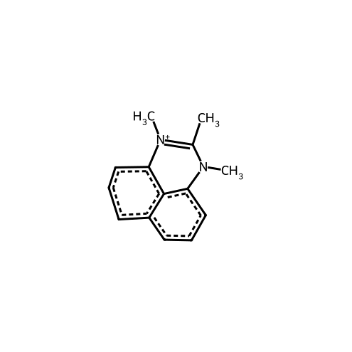 CC1=[N+](C)c2cccc3cccc(c23)N1C